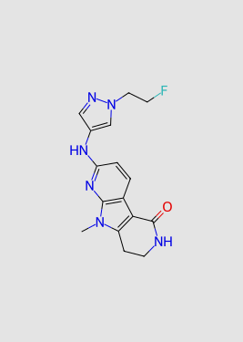 Cn1c2c(c3ccc(Nc4cnn(CCF)c4)nc31)C(=O)NCC2